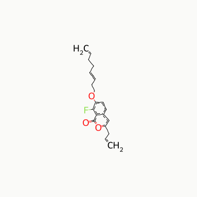 C=CCC/C=C/CCOc1ccc2cc(CC=C)oc(=O)c2c1F